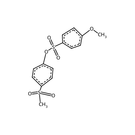 COc1ccc(S(=O)(=O)Oc2ccc(S(C)(=O)=O)cc2)cc1